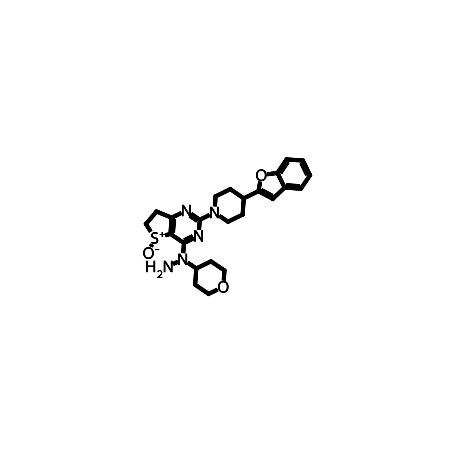 NN(c1nc(N2CCC(c3cc4ccccc4o3)CC2)nc2c1[S+]([O-])CC2)C1CCOCC1